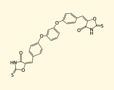 O=C1NC(=S)OC1=Cc1ccc(Oc2cccc(Oc3ccc(C=C4OC(=S)NC4=O)cc3)c2)cc1